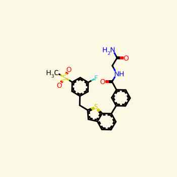 CS(=O)(=O)c1cc(F)cc(Cc2cc3cccc(-c4cccc(C(=O)NCC(N)=O)c4)c3s2)c1